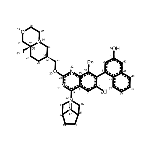 Oc1cc(-c2c(Cl)cc3c(N4CC5CCC(C4)N5)nc(OC[C@H]4CC[C@@H]5COCCN5C4)nc3c2F)c2ccccc2c1